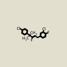 CC(C)(C(F)=CCc1ccc(F)c(Cl)c1)c1ccc(Cl)cc1